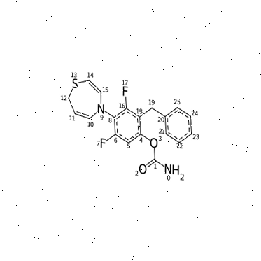 NC(=O)Oc1cc(F)c(N2C=CCSC=C2)c(F)c1Cc1ccccc1